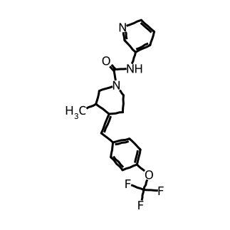 CC1CN(C(=O)Nc2cccnc2)CCC1=Cc1ccc(OC(F)(F)F)cc1